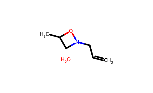 C=CCN1CC(C)O1.O